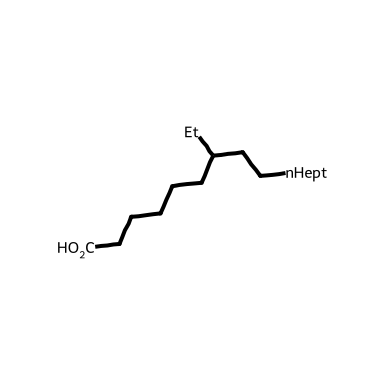 CCCCCCCCCC(CC)CCCCCC(=O)O